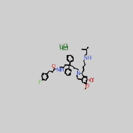 COc1cc2c(cc1OC)C(CCCCNCCC(C)C)N(CCCC(CCCNC(=O)CCc1ccc(F)cc1)(c1ccccc1)c1ccccc1)CC2.Cl.Cl